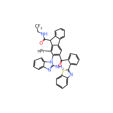 CCCc1c2c(cc(C(=O)c3ccccc3-c3nc4ccccc4s3)c1-n1c(N)nc3ccccc31)-c1ccccc1C2C(=O)NCC(F)(F)F